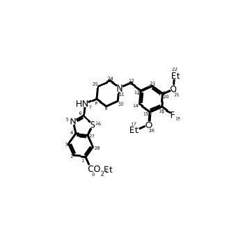 CCOC(=O)c1ccc2nc(NC3CCN(Cc4cc(OCC)c(F)c(OCC)c4)CC3)sc2c1